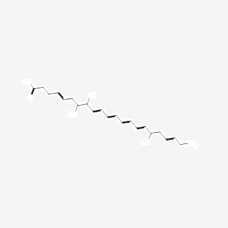 CCC=CCC(O)C=CC=CC=CC=CC(O)C(O)CC=CCCC(=O)O